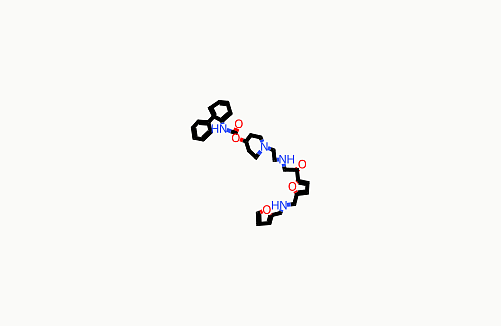 O=C(Nc1ccccc1-c1ccccc1)OC1CCN(CCNCC(=O)c2ccc(CNCc3ccco3)o2)CC1